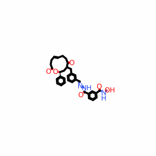 O=C1CC/C=C/CCC(=O)C(Cc2cccc(/C=N/NC(=O)c3cccc(C(=O)NO)c3)c2)C[C@@H](c2ccccc2)O1